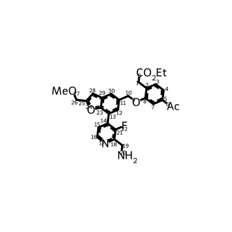 CCOC(=O)Cc1ccc(C(C)=O)cc1OCc1cc(-c2ccnc(CN)c2F)c2oc(COC)cc2c1